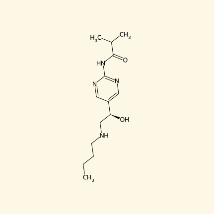 CCCCNC[C@H](O)c1cnc(NC(=O)C(C)C)nc1